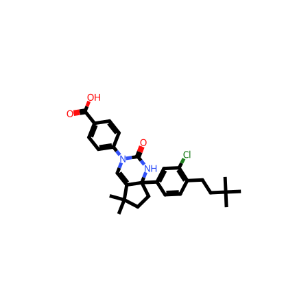 CC(C)(C)CCc1ccc(C23CCC(C)(C)C2=CN(c2ccc(C(=O)O)cc2)C(=O)N3)cc1Cl